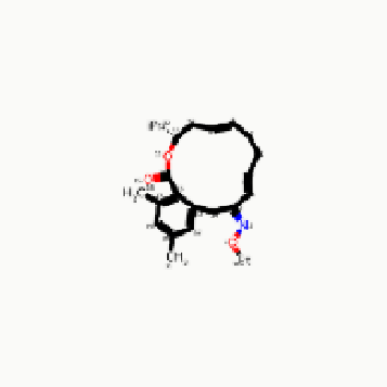 CCON=C1/C=C/CC/C=C/C[C@@H](C(C)C)OC(=O)c2c(C)cc(C)cc2C1